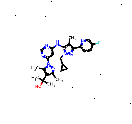 Cc1nn(-c2cc(Nc3c(C)c(-c4ccc(F)cn4)nn3CC3CC3)ncn2)c(C)c1C(C)(C)O